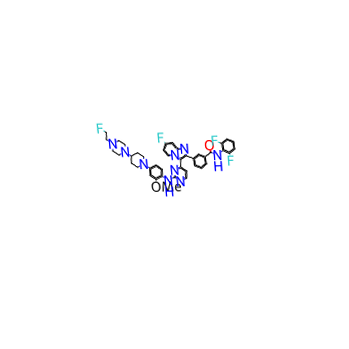 COc1cc(N2CCC(N3CCN(CCF)CC3)CC2)ccc1Nc1nccc(-c2c(-c3cccc(C(=O)Nc4c(F)cccc4F)c3)nc3cc(F)ccn23)n1